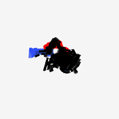 CC[C@H]1OC(=O)CC(=O)[C@H](C)[C@@H](O[C@@H]2OC(C)CC(N(C)C)C2C)[C@](C)(OC)C[C@@H](C)CN[C@H](C)[C@H]2N(CCCCN=[N+]=[N-])C(=O)O[C@]12C